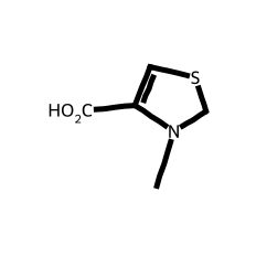 CN1CSC=C1C(=O)O